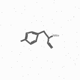 C=CC(Cc1ccc(C)cc1)NC